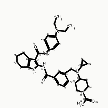 CCN(CC)c1ccc(NC(=O)c2c(NC(=O)c3cccc(CN(C4CC4)C4CCN(C(C)=O)CC4)c3)sc3c2CCCC3)cc1